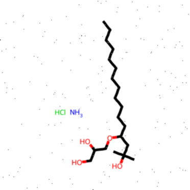 CCCCCCCCCCCCC(CC(C)(C)O)OCC(O)CO.Cl.N